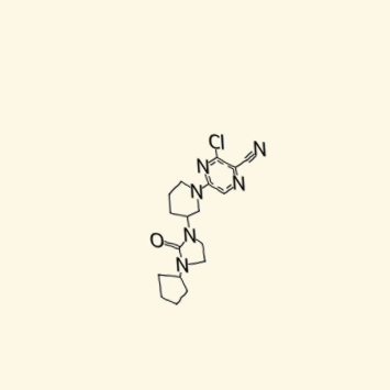 N#Cc1ncc(N2CCCC(N3CCN(C4CCCC4)C3=O)C2)nc1Cl